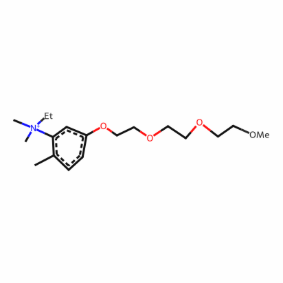 CC[N+](C)(C)c1cc(OCCOCCOCCOC)ccc1C